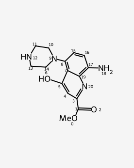 COC(=O)c1cc(O)c2c(N3CCNCC3)ccc(N)c2n1